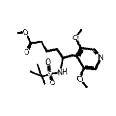 COC(=O)CCCC(NS(=O)(=O)C(C)(C)C)c1c(OC)cncc1OC